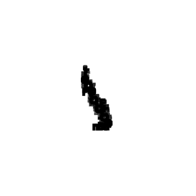 C=CCCOc1ccc(OCC2CCC(c3ccc(C4CCC(OCCCC)CC4)c(F)c3F)CC2)c(F)c1